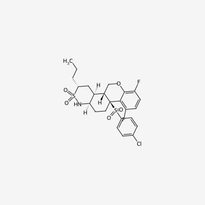 CCC[C@@H]1C[C@@H]2[C@@H](CC[C@@]3(S(=O)(=O)c4ccc(Cl)cc4)c4c(F)ccc(F)c4OC[C@@H]23)NS1(=O)=O